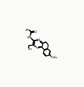 CCC(C)C(=O)Nc1nc2c(nc1CC(C)C)-c1ccc(OC)cc1CC2